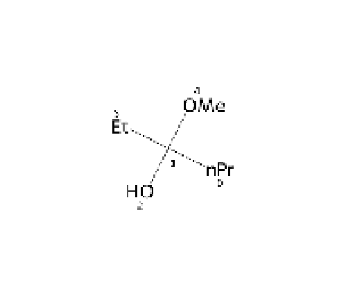 CCCC(O)(CC)OC